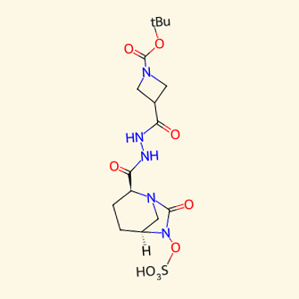 CC(C)(C)OC(=O)N1CC(C(=O)NNC(=O)[C@@H]2CC[C@H]3CN2C(=O)N3OS(=O)(=O)O)C1